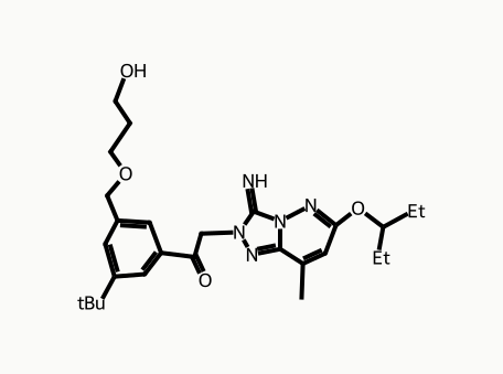 CCC(CC)Oc1cc(C)c2nn(CC(=O)c3cc(COCCCO)cc(C(C)(C)C)c3)c(=N)n2n1